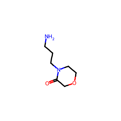 NCCCN1CCOCC1=O